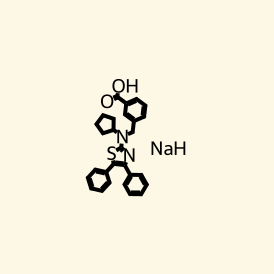 O=C(O)c1cccc(CN(c2nc(-c3ccccc3)c(-c3ccccc3)s2)C2CCCC2)c1.[NaH]